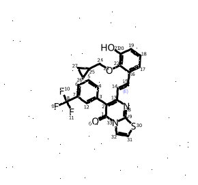 O=c1c(-c2cccc(C(F)(F)F)c2)c(/C=C/c2cccc(O)c2OCC2CC2)nc2sccn12